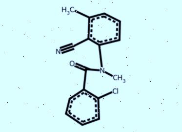 Cc1cccc(N(C)C(=O)c2ccccc2Cl)c1C#N